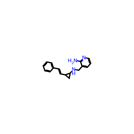 Nc1ncccc1CNC1CC1C=Cc1ccccc1